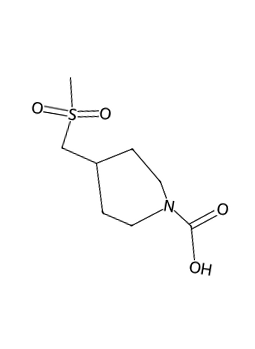 CS(=O)(=O)CC1CCN(C(=O)O)CC1